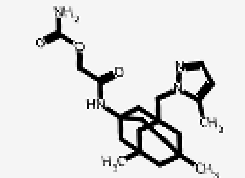 Cc1ccnn1CC12CC3(C)CC(C)(C1)CC(NC(=O)COC(N)=O)(C3)C2